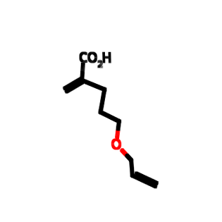 C=CCOCCCC(=C)C(=O)O